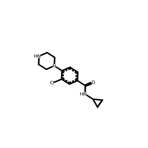 O=C(NC1CC1)c1ccc(N2CCNCC2)c(Cl)c1